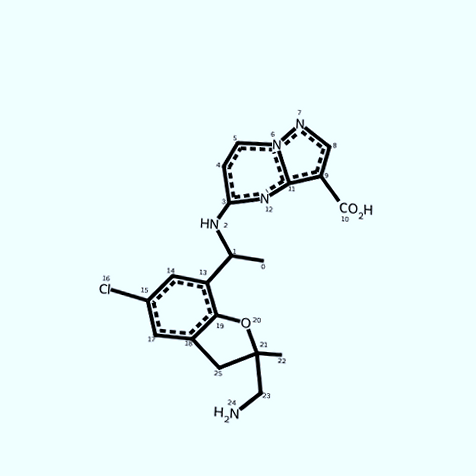 CC(Nc1ccn2ncc(C(=O)O)c2n1)c1cc(Cl)cc2c1OC(C)(CN)C2